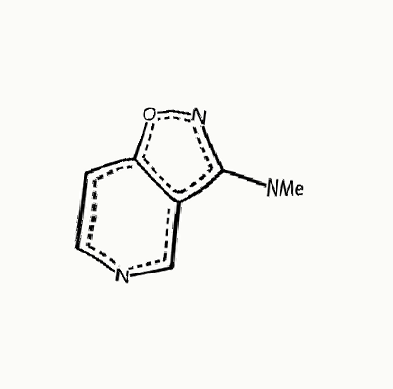 CNc1noc2ccncc12